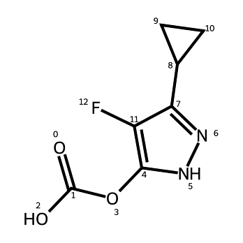 O=C(O)Oc1[nH]nc(C2CC2)c1F